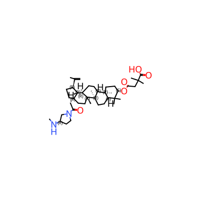 C=C(C)[C@@H]1CC[C@]2(CC(=O)N3CC[C@@H](NC)C3)CC[C@]3(C)[C@H](CC[C@@H]4[C@@]5(C)CC[C@H](OC(=O)CC(C)(C)C(=O)O)C(C)(C)[C@@H]5CC[C@]43C)[C@@H]12